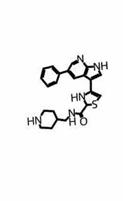 O=C(NCC1CCNCC1)C1NC(c2c[nH]c3ncc(-c4ccccc4)cc23)=CS1